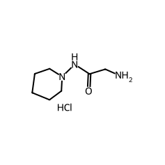 Cl.NCC(=O)NN1CCCCC1